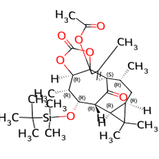 CC(=O)OC1C(C)=C[C@]23C(=O)[C@@H]([C@H](O[Si](C)(C)C(C)(C)C)[C@H](C)[C@H]4OC(=O)OC142)[C@H]1[C@@H](C[C@H]3C)C1(C)C